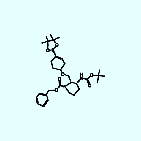 CC(C)(C)OC(=O)N[C@H]1CCCN(C(=O)OCc2ccccc2)[C@H]1COC1CC=C(B2OC(C)(C)C(C)(C)O2)CC1